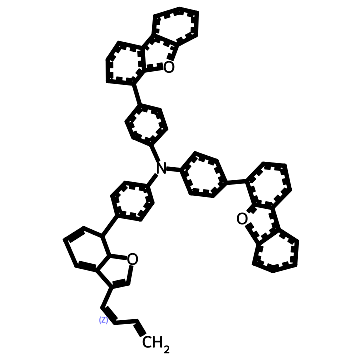 C=C/C=C\C1=COC2C1=CC=CC2c1ccc(N(c2ccc(-c3cccc4c3oc3ccccc34)cc2)c2ccc(-c3cccc4c3oc3ccccc34)cc2)cc1